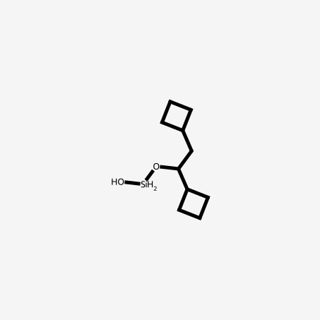 O[SiH2]OC(CC1CCC1)C1CCC1